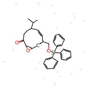 CC(C)C1/C=C\C(CO[Si](c2ccccc2)(c2ccccc2)c2ccccc2)CC2OC2C(=O)CC1